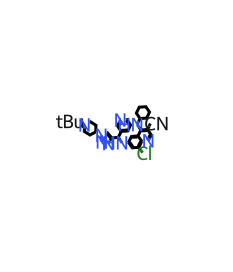 CC(C)(C)N1CCC(n2cc(C(Nc3cc(Cl)c4ncc(C#N)c(NC5CCCCC5)c4c3)c3cccnc3)nn2)CC1